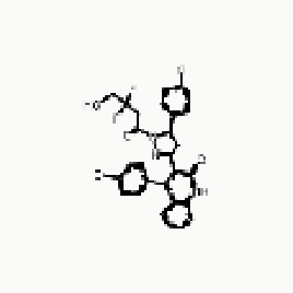 O=C(CC(F)(F)CO)N1N=C(c2c(-c3ccc(Cl)cc3)c3ccccc3[nH]c2=O)CC1c1ccc(Cl)cc1